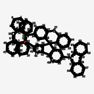 c1ccc2c(c1)Oc1ccccc1N2c1ccc2c(c1)C1(c3ccccc3S2)c2cc(N3c4ccccc4Oc4ccccc43)cnc2-c2ncc(-n3c4ccccc4c4ccccc43)cc21